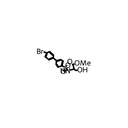 COC(=O)C(CO)NS(=O)(=O)c1ccc(-c2ccc(Br)cc2)cc1